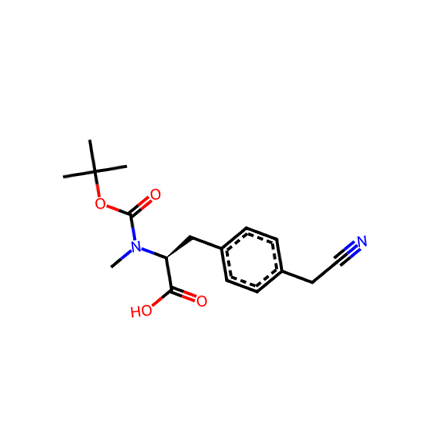 CN(C(=O)OC(C)(C)C)[C@@H](Cc1ccc(CC#N)cc1)C(=O)O